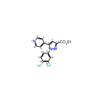 CCOC(=O)c1cc(-c2ccncc2)n(-c2ccc(F)c(F)c2)n1